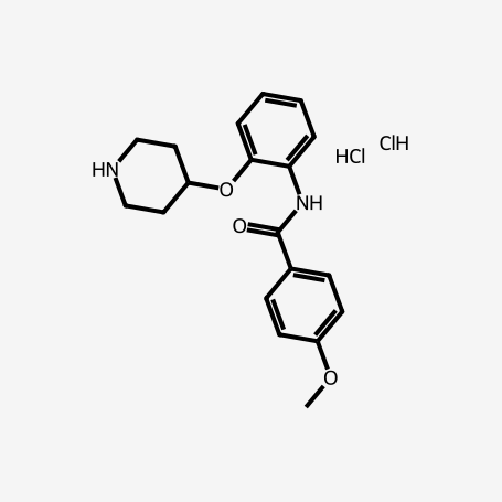 COc1ccc(C(=O)Nc2ccccc2OC2CCNCC2)cc1.Cl.Cl